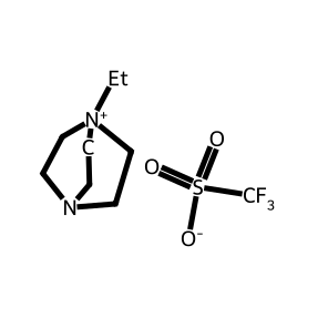 CC[N+]12CCN(CC1)CC2.O=S(=O)([O-])C(F)(F)F